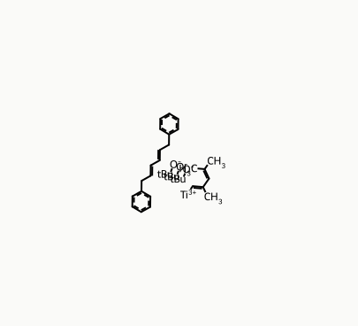 C(C=CCc1ccccc1)=CCc1ccccc1.CC(C)(C)[O-].CC(C)(C)[O-].CC(C)(C)[O-].CC(C)=CC(C)=[CH][Ti+3]